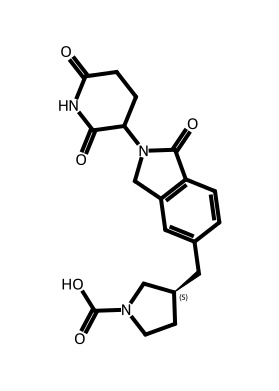 O=C1CCC(N2Cc3cc(C[C@H]4CCN(C(=O)O)C4)ccc3C2=O)C(=O)N1